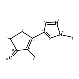 CC1=C(c2cnn(C)c2)CCC1=O